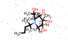 [2H]C1([2H])N(C(C)(C)CCC)[C@](C)(C(C)(C)O)[C@@](C)(O)[C@](C)(O)[C@@]1([2H])O